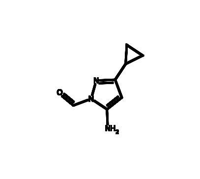 Nc1cc(C2CC2)nn1C=O